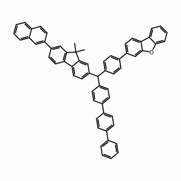 CC1(C)c2cc(-c3ccc4ccccc4c3)ccc2-c2ccc(C(c3ccc(-c4ccc(-c5ccccc5)cc4)cc3)c3ccc(-c4ccc5c(c4)oc4ccccc45)cc3)cc21